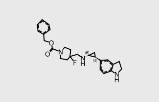 O=C(OCc1ccccc1)N1CCC(F)(CN[C@@H]2C[C@H]2c2ccc3c(c2)CCN3)CC1